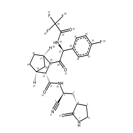 N#C[C@H](C[C@@H]1CCNC1=O)NC(=O)[C@@H]1[C@H]2CC[C@H](C2)N1C(=O)[C@@H](NC(=O)C(F)(F)F)c1ccc(F)cc1